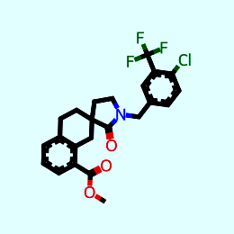 COC(=O)c1cccc2c1CC1(CC2)CCN(Cc2ccc(Cl)c(C(F)(F)F)c2)C1=O